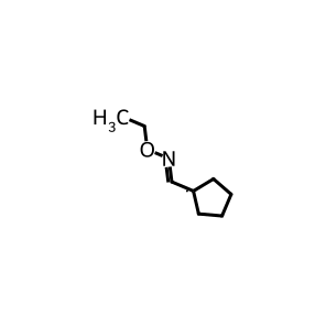 CCON=C[C]1CCCC1